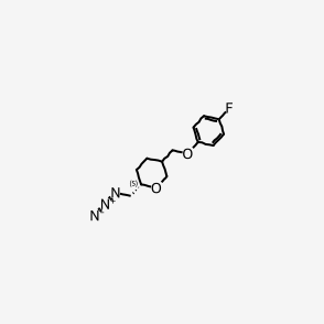 [N-]=[N+]=NC[C@@H]1CCC(COc2ccc(F)cc2)CO1